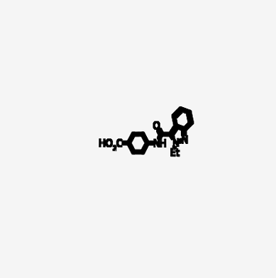 CCn1nc2ccccc2c1C(=O)NC1CCC(C(=O)O)CC1